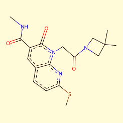 CNC(=O)c1cc2ccc(SC)nc2n(CC(=O)N2CC(C)(C)C2)c1=O